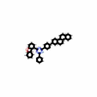 c1ccc(-c2nc(-c3ccc(-c4ccc5c(ccc6c7ccccc7ccc56)c4)cc3)nc(-c3cccc4oc5ccccc5c34)n2)cc1